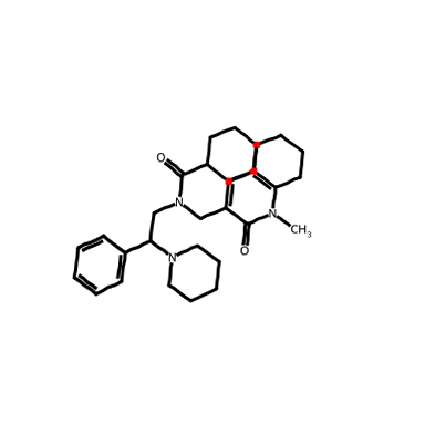 Cn1c2c(cc(CN(CC(c3ccccc3)N3CCCCC3)C(=O)C3CCCCC3)c1=O)CCCC2